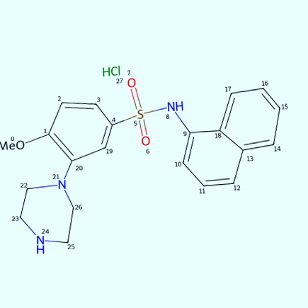 COc1ccc(S(=O)(=O)Nc2cccc3ccccc23)cc1N1CCNCC1.Cl